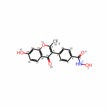 O=C(NO)c1ccc(-c2c(C(F)(F)F)oc3cc(O)ccc3c2=O)cc1